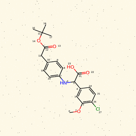 COc1cc(C(Nc2ccc(CC(=O)OC(C)(C)C)cc2)C(=O)O)ccc1Cl